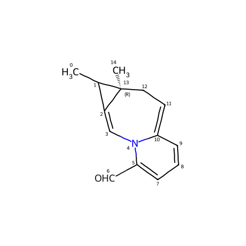 CC1C2=CN3C(C=O)=CC=CC3=CC[C@@]21C